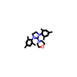 Cc1cc(C)c(N2CCN(c3c(C)cc(C)cc3C)C2N2CCOCC2)c(C)c1